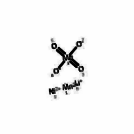 [Li+].[Mn+2].[Ni+2].[O]=[Mn](=[O])([O-])[O-]